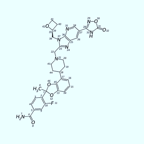 CC1(c2ccc(C(N)=O)cc2F)Oc2cccc(C3CCN(Cc4nc5cc(-c6noc(=O)[nH]6)cnc5n4C[C@@H]4CCO4)CC3)c2O1